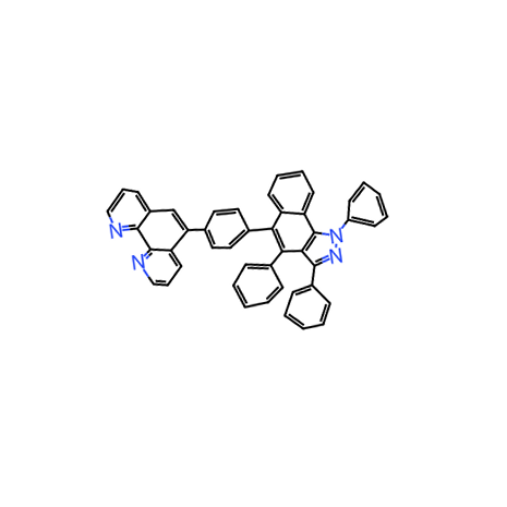 c1ccc(-c2nn(-c3ccccc3)c3c2c(-c2ccccc2)c(-c2ccc(-c4cc5cccnc5c5ncccc45)cc2)c2ccccc23)cc1